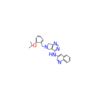 CC(C)Oc1ccccc1CN1Cc2ncnc(Nc3cnc4ccccc4c3)c2C1